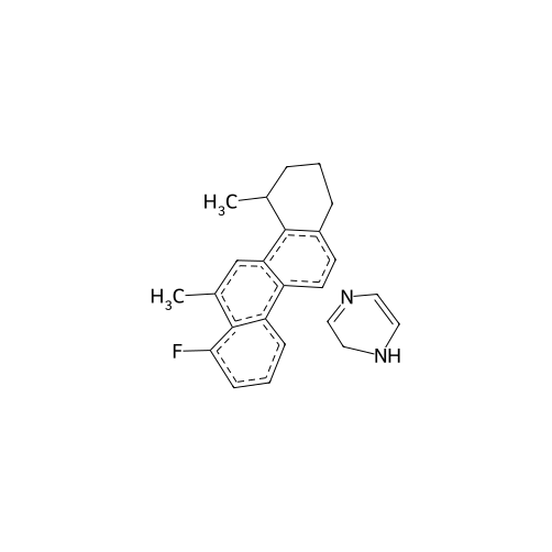 C1=CNCC=N1.Cc1cc2c3c(ccc2c2cccc(F)c12)CCCC3C